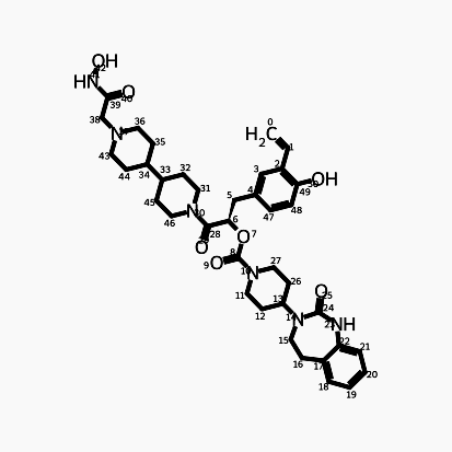 C=Cc1cc(C[C@@H](OC(=O)N2CCC(N3CCc4ccccc4NC3=O)CC2)C(=O)N2CCC(C3CCN(CC(=O)NO)CC3)CC2)ccc1O